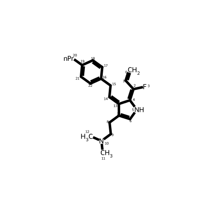 C=C/C(F)=c1/[nH]cc(CCN(C)C)/c1=C/Cc1ccc(CCC)cc1